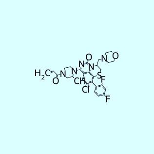 C=CC(=O)N1CCN(c2nc(=O)n3c4c(c(-c5ccc(F)cc5F)c(Cl)cc24)SCC3CN2CCOCC2)[C@@H](C)C1